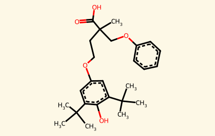 CC(CCOc1cc(C(C)(C)C)c(O)c(C(C)(C)C)c1)(COc1ccccc1)C(=O)O